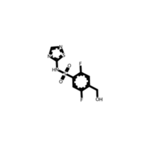 O=S(=O)(Nc1ncns1)c1cc(F)c(CO)cc1F